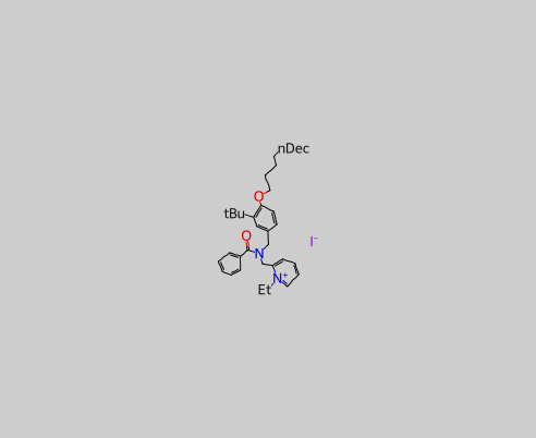 CCCCCCCCCCCCCCOc1ccc(CN(Cc2cccc[n+]2CC)C(=O)c2ccccc2)cc1C(C)(C)C.[I-]